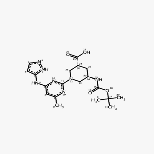 Cc1cc(Nc2ccn[nH]2)nc(N2C[C@H](NC(=O)OC(C)(C)C)C[C@@H](C(=O)O)C2)n1